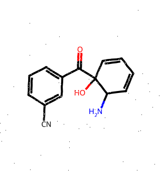 N#Cc1cccc(C(=O)C2(O)C=CC=CC2N)c1